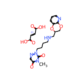 Cn1c(=O)cnn(CCCCNCC2COc3ncccc3O2)c1=O.O=C(O)/C=C/C(=O)O